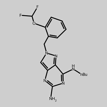 CCCCNc1nc(N)nc2cn(Cc3ccccc3OC(F)F)nc12